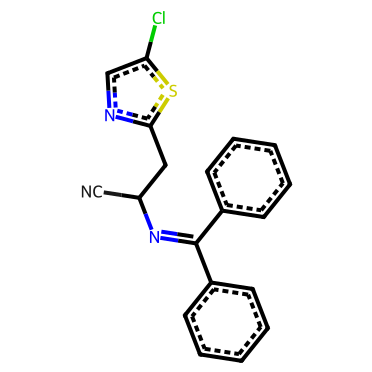 N#CC(Cc1ncc(Cl)s1)N=C(c1ccccc1)c1ccccc1